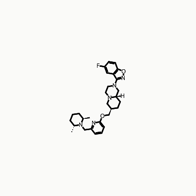 C[C@@H]1CCC[C@@H](C)N1Cc1cccc(OC[C@@H]2CC[C@H]3CN(c4noc5ccc(F)cc45)CCN3C2)n1